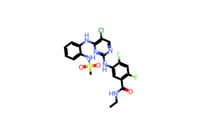 CCNC(=O)c1cc(Nc2ncc(Cl)c(Nc3ccccc3NS(C)(=O)=O)n2)c(F)cc1F